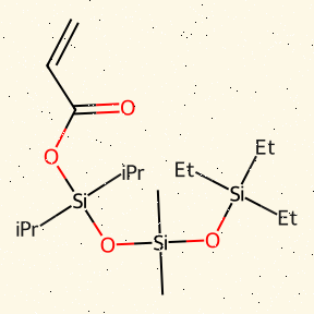 C=CC(=O)O[Si](O[Si](C)(C)O[Si](CC)(CC)CC)(C(C)C)C(C)C